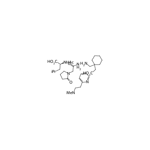 CC(=O)N[C@@H](CC(C)C)C(=O)O.CNCCc1ccccn1.NC(=O)CN1CCCC1=O.NCC1(CC(=O)O)CCCCC1